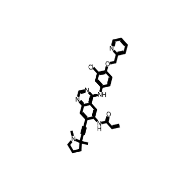 C=CC(=O)Nc1cc2c(Nc3ccc(OCc4ccccn4)c(Cl)c3)ncnc2cc1C#CC1(C)CCCN1C